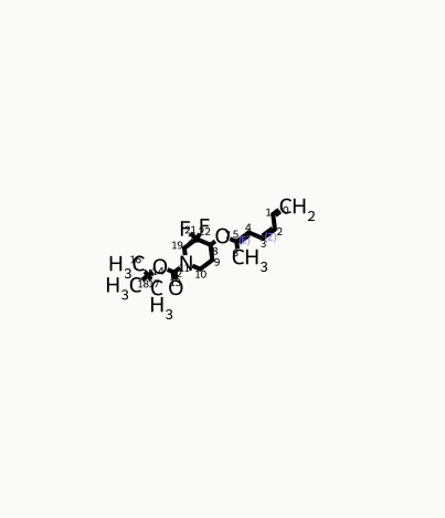 C=C/C=C\C=C(/C)OC1CCN(C(=O)OC(C)(C)C)CC1(F)F